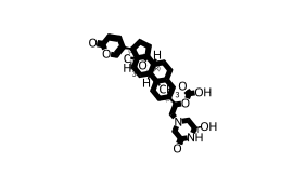 C[C@@]12CC[C@H](C(CN3CC(=O)N[C@@H](O)C3)OC(=O)O)CC1CC[C@@H]1[C@@H]2CC[C@]2(C)[C@@H](c3ccc(=O)oc3)CC[C@]12O